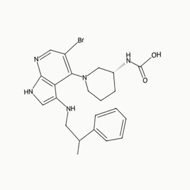 CC(CNc1c[nH]c2ncc(Br)c(N3CCC[C@@H](NC(=O)O)C3)c12)c1ccccc1